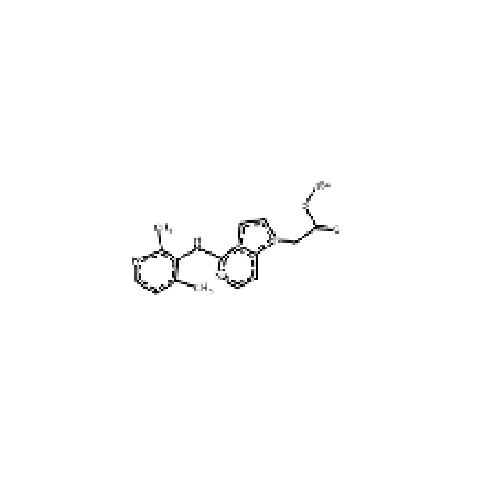 Cc1ccnc(C)c1Nc1nccc2c1ccn2CC(=O)OC(C)(C)C